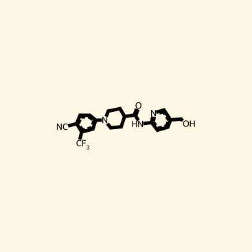 N#Cc1ccc(N2CCC(C(=O)Nc3ccc(CO)cn3)CC2)cc1C(F)(F)F